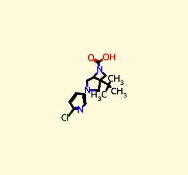 CC(C)(C)C12CN(c3ccc(Cl)nc3)CC1N(C(=O)O)C2